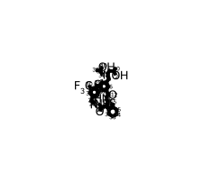 CC(O)CN(Cc1cccc(C(=O)Nc2sc3c(c2C(=O)N/N=C\c2ccc(Cl)c(C(F)(F)F)c2)CCCC3)c1)CC(C)O